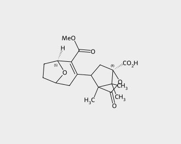 COC(=O)C1=C(C2C[C@@]3(C(=O)O)OC(=O)C2(C)C3(C)C)CC2CC[C@@H]1O2